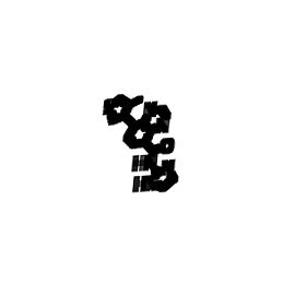 Cc1cscc1-c1ccc(C(=O)Nc2ncc[nH]2)c2nccnc12